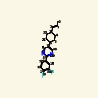 C/C=C/C1CCC(c2cnc(-c3ccc(F)c(F)c3)nc2)CC1